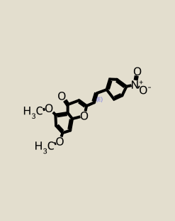 COc1cc(OC)c2c(=O)cc(/C=C/c3ccc([N+](=O)[O-])cc3)oc2c1